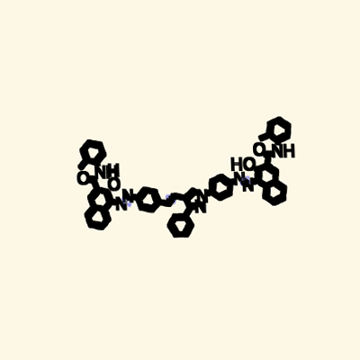 Cc1ccccc1NC(=O)c1cc2ccccc2c(/N=N/c2ccc(/C=C/c3cn(-c4ccc(/N=N/c5c(O)c(C(=O)Nc6ccccc6C)cc6ccccc56)cc4)nc3-c3ccccc3)cc2)c1O